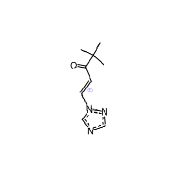 CC(C)(C)C(=O)/C=C/n1cncn1